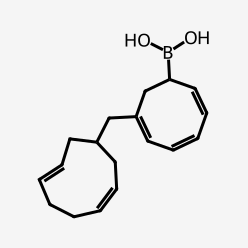 OB(O)C1\C=C/C=C\C=C(\CC2C/C=C\CC/C=C/C2)C1